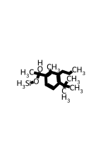 CCCc1c(C(C)(C)C)ccc(C(C)(O)O[SiH3])c1C